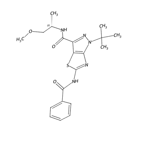 COC[C@H](C)NC(=O)c1nn(C(C)(C)C)c2nc(NC(=O)c3ccccc3)sc12